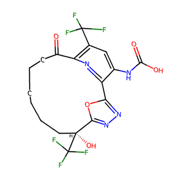 O=C(O)Nc1cc(C(F)(F)F)c2nc1-c1nnc(o1)[C@@](O)(C(F)(F)F)CCCCCCC2=O